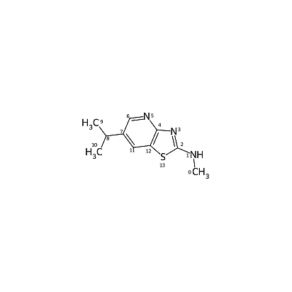 CNc1nc2ncc(C(C)C)cc2s1